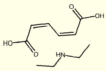 CCNCC.O=C(O)/C=C\C=C/C(=O)O